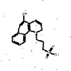 O=S(=O)(O)CCCN1CC=Cc2c(O)cc3ccccc3c21